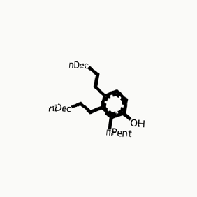 CCCCCCCCCCCCc1ccc(O)c(CCCCC)c1CCCCCCCCCCCC